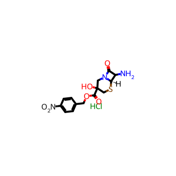 Cl.NC1C(=O)N2CC(O)(C(=O)OCc3ccc([N+](=O)[O-])cc3)CS[C@H]12